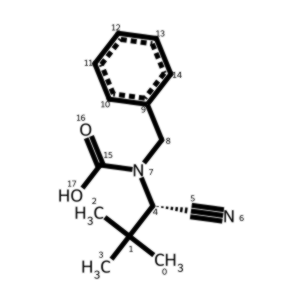 CC(C)(C)[C@@H](C#N)N(Cc1ccccc1)C(=O)O